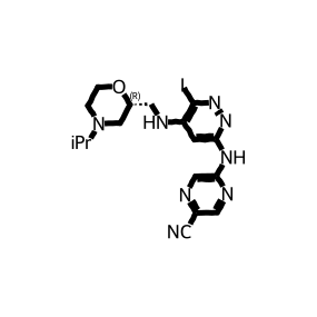 CC(C)N1CCO[C@H](CNc2cc(Nc3cnc(C#N)cn3)nnc2I)C1